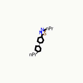 CCCc1nnc(C2CCC([C@H]3CC[C@H](CCC)CC3)CC2)s1